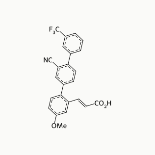 COc1ccc(-c2ccc(-c3cccc(C(F)(F)F)c3)c(C#N)c2)c(/C=C/C(=O)O)c1